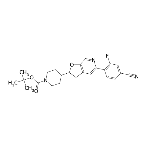 CC(C)(C)OC(=O)N1CCC(C2Cc3cc(-c4ccc(C#N)cc4F)ncc3O2)CC1